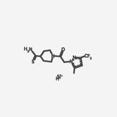 Cc1cc(C(F)(F)F)nn1CC(=O)N1CCC(C(N)=S)CC1.[H+].[S-2]